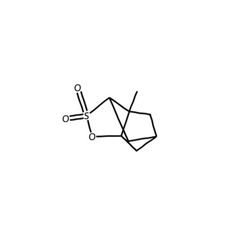 CC12CC3CC1OS(=O)(=O)C2C3